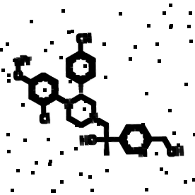 CCCOc1ccc(N2CCN(C[C@@](C)(O)c3ccc(CO)nc3)C[C@H]2c2ccc(C#N)cc2)c(Cl)c1